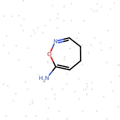 NC1=CCCC=NO1